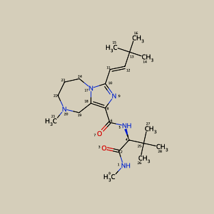 CNC(=O)[C@@H](NC(=O)c1nc(C=CC(C)(C)C)n2c1CN(C)CCC2)C(C)(C)C